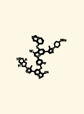 CN[C@H]1CC[C@@H](n2ncc(-c3cc(Sc4cccn5cncc45)c4c(C#N)c[n+](-c5cnc(Sc6cc(-c7cnn([C@H]8C[C@H]9CNC[C@H]9C8)c7C)cn7ncc(C#N)c67)c(F)c5)n4c3)c2C)CC1